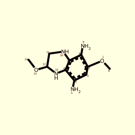 COc1cc(N)c2c(c1N)NCC(OC)N2